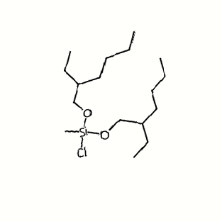 CCCCC(CC)CO[Si](C)(Cl)OCC(CC)CCCC